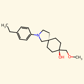 CCc1ccc(N2CC[C@]3(CC[C@@](O)(COC)CC3)C2)cc1